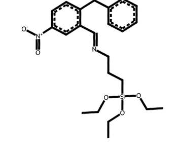 CCO[Si](CCC/N=C/c1cc([N+](=O)[O-])ccc1Cc1ccccc1)(OCC)OCC